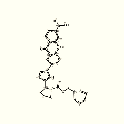 O=C(OCc1ccccc1)N1CCC[C@H]1c1ncc(-c2ccc3oc4cc(B(O)O)ccc4c(=O)c3c2)[nH]1